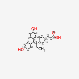 CCC(=C(c1ccc(O)cc1)c1ccc(O)cc1)c1ccc(C=CC(=O)O)cc1